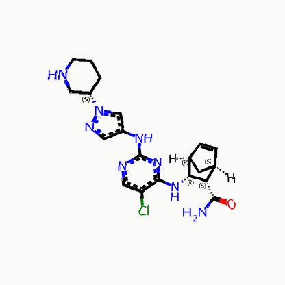 NC(=O)[C@@H]1[C@H](Nc2nc(Nc3cnn([C@H]4CCCNC4)c3)ncc2Cl)[C@H]2C=C[C@@H]1C2